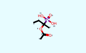 CCC(C)(OC(C)=O)P(=O)(O)O